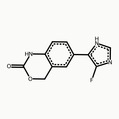 O=C1Nc2ccc(-c3[nH]cnc3F)cc2CO1